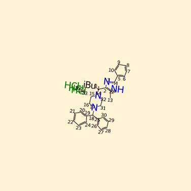 CCC(C)C(c1nc(-c2ccccc2)[nH]c1C)N1CCN(C(c2ccccc2)c2ccccc2)CC1.Cl.Cl.Cl